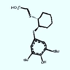 CC(C)(C)c1cc(S[C@@H]2CCCC[C@H]2SCC(=O)O)cc(C(C)(C)C)c1O